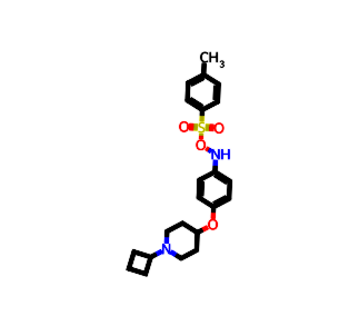 Cc1ccc(S(=O)(=O)ONc2ccc(OC3CCN(C4CCC4)CC3)cc2)cc1